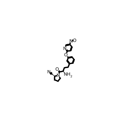 N#C[C@@H]1CCCN1C(=O)[C@@H](N)CCc1cccc(Oc2ccc(N=O)cn2)c1